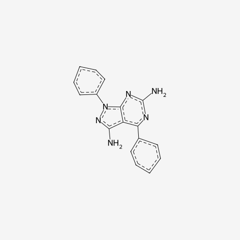 Nc1nc(-c2ccccc2)c2c(N)nn(-c3ccccc3)c2n1